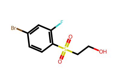 O=S(=O)(CCO)c1ccc(Br)cc1F